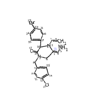 C=CN1/C(=C\N)CN(Cc2ccc(Cl)cc2)C(=O)C1c1ccc(Br)cc1